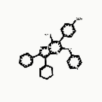 COc1ccc(-c2c(Nc3ccncc3)nc3c(C4=CCCCC4)c(-c4ccccc4)nn3c2OC)cc1